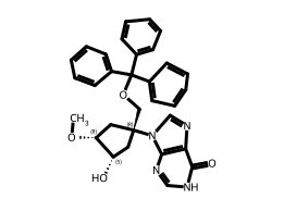 CO[C@@H]1C[C@](COC(c2ccccc2)(c2ccccc2)c2ccccc2)(n2cnc3c(=O)[nH]cnc32)C[C@@H]1O